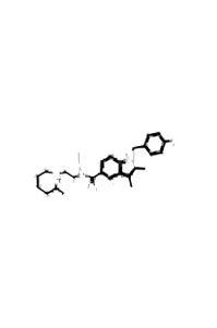 Cc1c(C)n(Cc2ccc(Cl)cc2)c2ccc(C(=O)NCCN3CCCCC3C)cc12